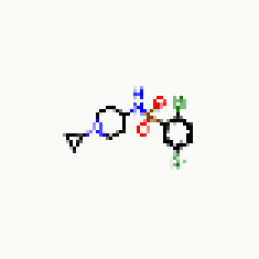 O=S(=O)(NC1CCN(C2CC2)CC1)c1cc(Br)ccc1Br